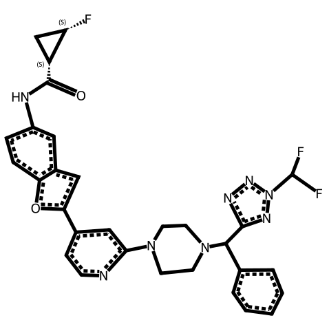 O=C(Nc1ccc2oc(-c3ccnc(N4CCN(C(c5ccccc5)c5nnn(C(F)F)n5)CC4)c3)cc2c1)[C@@H]1C[C@@H]1F